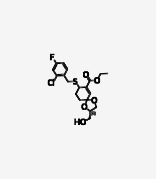 CCOC(=O)C1=CC2(CCC1SCc1ccc(F)cc1Cl)OC[C@@H](CO)O2